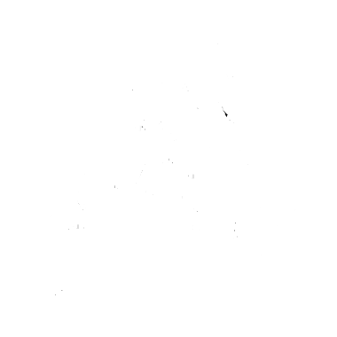 CCC[C@H](NC(=O)[C@H](CC(C)C)NC(=O)[C@H](NC(=O)OCC1c2ccccc2-c2ccccc21)C1CCCCC1)C(=NNC(=O)NC)C(=O)NCC(=O)N[C@H](C(C)=O)c1ccccc1